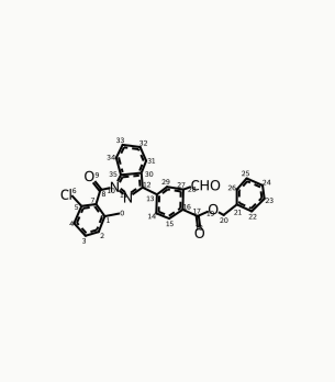 Cc1cccc(Cl)c1C(=O)n1nc(-c2ccc(C(=O)OCc3ccccc3)c(C=O)c2)c2ccccc21